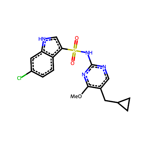 COc1nc(NS(=O)(=O)c2c[nH]c3cc(Cl)ccc23)ncc1CC1CC1